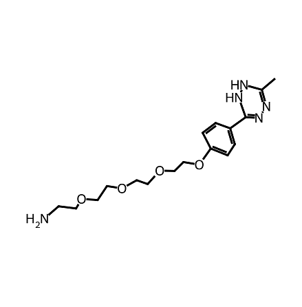 CC1=NN=C(c2ccc(OCCOCCOCCOCCN)cc2)NN1